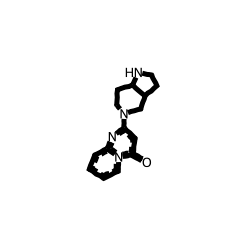 O=c1cc(N2CCC3NCCC3C2)nc2ccccn12